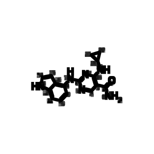 NC(=O)c1cnc(Nc2cccc3[nH]ccc23)nc1NC1CC1